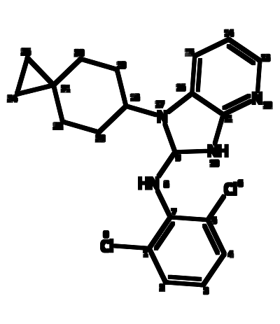 Clc1cccc(Cl)c1NC1Nc2ncccc2N1C1CCC2(CC1)CC2